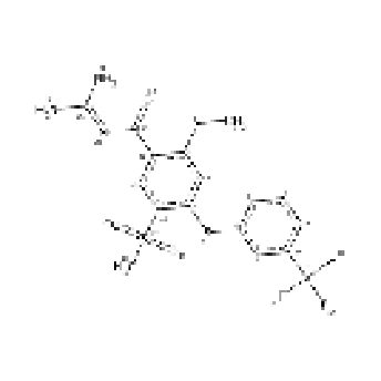 CCc1cc(Sc2cccc(C(F)(F)F)c2)c(S(C)(=O)=O)cc1C(=O)N=C(N)N